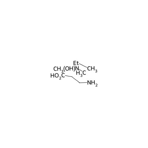 CCC.CN(C)O.NCCC(=O)O